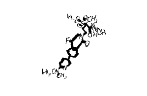 CN(C)c1ccc(-c2ccc3c(=O)n(CC[C@](C)(C(=O)NO)S(C)(=O)=O)cc(F)c3c2)cn1